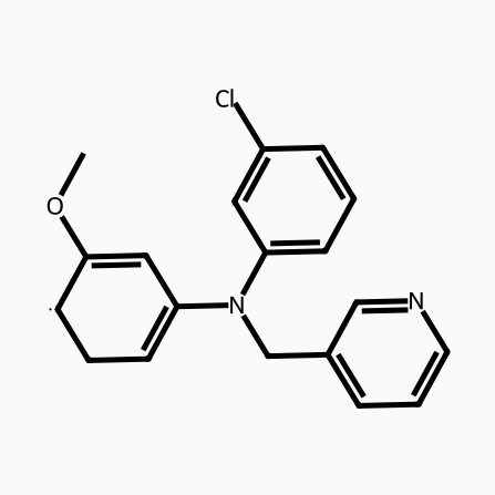 COC1=CC(N(Cc2cccnc2)c2cccc(Cl)c2)=CC[CH]1